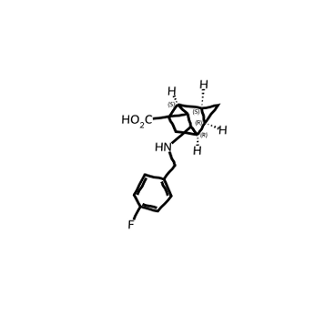 O=C(O)C1C(NCc2ccc(F)cc2)[C@@H]2CC[C@H]1[C@H]1C[C@H]12